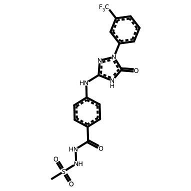 CS(=O)(=O)NNC(=O)c1ccc(Nc2nn(-c3cccc(C(F)(F)F)c3)c(=O)[nH]2)cc1